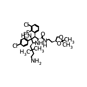 CC(C)(CCN)C[C@@H]1N[C@@H](C(=O)NCC[C@H]2COC(C)(C)O2)[C@H](c2cccc(Cl)c2F)[C@@]1(N)c1ccc(Cl)cc1F